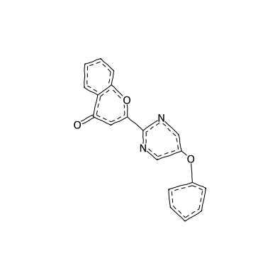 O=c1cc(-c2ncc(Oc3ccccc3)cn2)oc2ccccc12